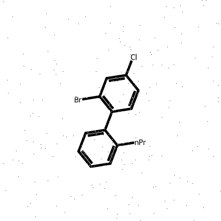 CCCc1ccccc1-c1ccc(Cl)cc1Br